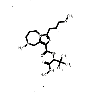 CNC(=O)[C@@H](NC(=O)c1nc(CCCOC)n2c1CN(C)CCC2)C(C)(C)C